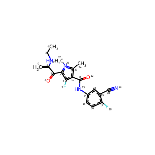 C=C(NCC)C(=O)c1c(F)c(C(=O)Nc2ccc(F)c(C#N)c2)c(C)n1C